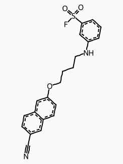 N#Cc1ccc2cc(OCCCCNc3cccc(S(=O)(=O)F)c3)ccc2c1